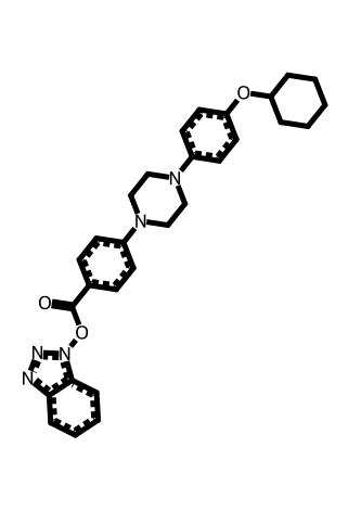 O=C(On1nnc2ccccc21)c1ccc(N2CCN(c3ccc(OC4CCCCC4)cc3)CC2)cc1